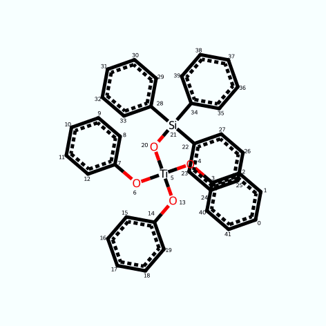 c1ccc([O][Ti]([O]c2ccccc2)([O]c2ccccc2)[O][Si](c2ccccc2)(c2ccccc2)c2ccccc2)cc1